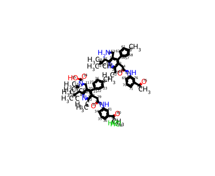 CCc1nc(CC(C)(C)C)c(CN(C(=O)O)C(C)(C)C)c(-c2ccc(C)cc2)c1CC(=O)Nc1cccc(C(C)=O)c1.CCc1nc(CC(C)(C)C)c(CN)c(-c2ccc(C)cc2)c1CC(=O)Nc1cccc(C(C)=O)c1.Cl.Cl